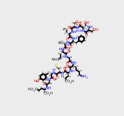 CC[C@H](C)[C@H](NC(=O)[C@H](Cc1ccccc1)NC(=O)[C@H](CC(C)C)NC(=O)[C@H](CO)NC(=O)[C@H](CO)NC(=O)[C@@H](N)CO)C(=O)N[C@@H](CCSC)C(=O)NCC(=O)N[C@@H](CCCCN)C(=O)N[C@@H](CCC(=O)O)C(=O)N[C@@H](CS)C(=O)N[C@@H](Cc1ccc(O)cc1)C(=O)NCC(=O)N[C@@H](CCC(=O)O)C(=O)O